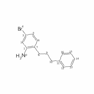 Nc1cc(Br)ccc1CCCc1ccccc1